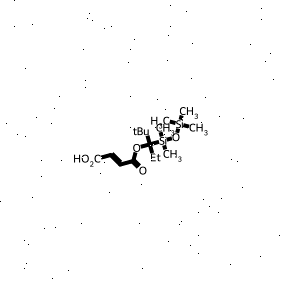 CCC(OC(=O)/C=C/C(=O)O)(C(C)(C)C)[Si](C)(C)O[Si](C)(C)C